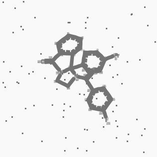 CC(C)c1ccc(C23c4ccccc4C(=O)N2CCN3C(=O)c2ccc(F)cc2)cc1